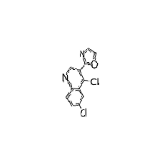 Clc1ccc2ncc(-c3ncco3)c(Cl)c2c1